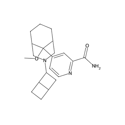 COC1(c2ccnc(C(N)=O)c2)C2CCCC1CN(C1CC3CCC31)C2